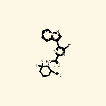 C[C@]1(N)CCCC(F)(F)[C@@H]1NC(=O)c1nc(-c2cnn3ccccc23)c(Cl)s1